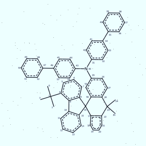 CC(C)(C)c1cccc2c1-c1ccccc1C21c2ccccc2C(C)(C)c2ccc(N(c3ccc(-c4ccccc4)cc3)c3ccc(-c4ccccc4)cc3)cc21